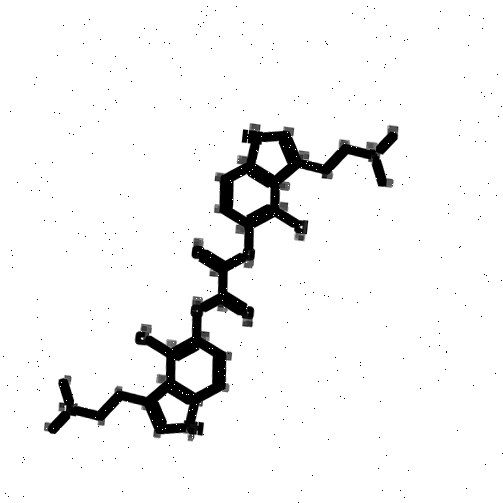 CN(C)CCc1c[nH]c2ccc(OC(=O)C(=O)Oc3ccc4[nH]cc(CCN(C)C)c4c3Cl)c(Cl)c12